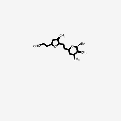 C=C1CC(CCC=O)OC1CCC1CC(C)C(=C)[C@@H](C(C)(C)C)O1